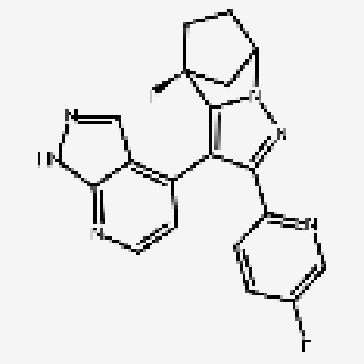 Fc1ccc(-c2nn3c(c2-c2ccnc4[nH]ncc24)[C@@H]2CCC3C2)nc1